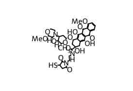 COc1cccc2c1C(=O)c1c(O)c3c(c(O)c1C2=O)C[C@@](O)(C(=O)NCCN1C(=O)CC(S)C1=O)C[C@@H]3O[C@H]1CC2[C@H](O[C@@H]3[C@@H](OC)OCCN23)[C@H](C)O1